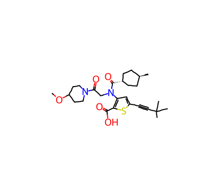 COC1CCN(C(=O)CN(c2cc(C#CC(C)(C)C)sc2C(=O)O)C(=O)[C@H]2CC[C@H](C)CC2)CC1